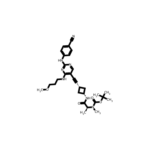 COCCCNc1nc(Nc2ccc(C#N)cc2)ncc1C#C[C@H]1C[C@@H](NC(=O)[C@H](C)N(C)C(=O)OC(C)(C)C)C1